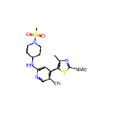 CNc1nc(C)c(-c2cc(NC3CCN(S(C)(=O)=O)CC3)ncc2C#N)s1